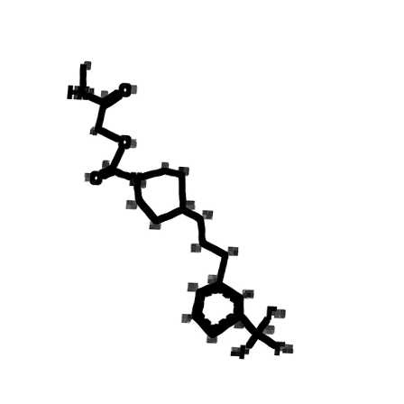 CNC(=O)COC(=O)N1CCC(CCCc2cccc(C(F)(F)F)c2)CC1